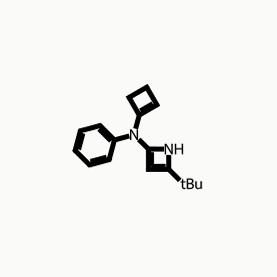 CC(C)(C)C1=C=C(N(C2=CCC2)c2ccccc2)N1